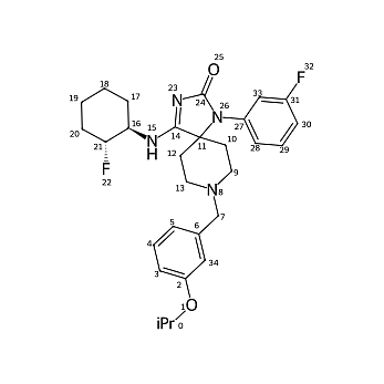 CC(C)Oc1cccc(CN2CCC3(CC2)C(N[C@@H]2CCCC[C@H]2F)=NC(=O)N3c2cccc(F)c2)c1